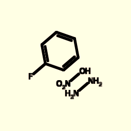 Fc1ccccc1.NN.O=[N+]([O-])O